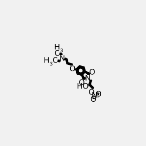 CCN(CC)CCCOc1ccc2c(c1)C(=O)N(CC(O)CO[N+](=O)[O-])C2=O